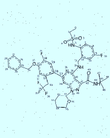 CCS(=O)(=O)Nc1ccc(F)cc1CNc1nc(-c2cc(F)c(OCc3ccccc3)cc2CC(F)(F)F)cc2c1c(C(=O)NC(C)(C)C)nn2C1CCCCO1